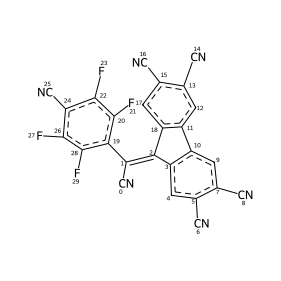 N#CC(=C1c2cc(C#N)c(C#N)cc2-c2cc(C#N)c(C#N)cc21)c1c(F)c(F)c(C#N)c(F)c1F